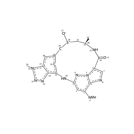 CNc1cc2nn3c(cnc13)C(=O)N[C@H](C)C[S+]([O-])Cc1cc(c3nnn(C)c3c1)N2